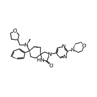 CN(CC1CCOC1)C1(c2ccccc2)CCC2(CC1)CN(c1cnc(N3CCOCC3)nc1)C(=O)N2